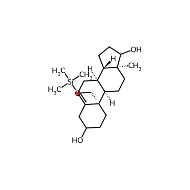 C[C@]12CC[C@@H]3[C@@H](CC=C4CC(O)CC[C@@]43CO[Si](C)(C)C)[C@@H]1CCC2O